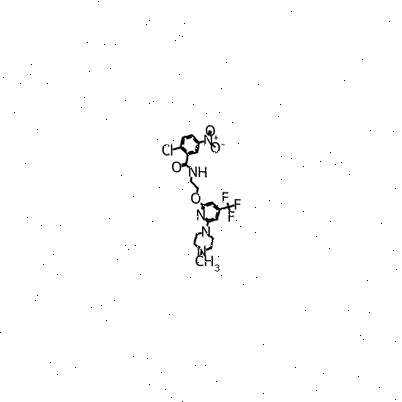 CN1CCN(c2cc(C(F)(F)F)cc(OCCNC(=O)c3cc([N+](=O)[O-])ccc3Cl)n2)CC1